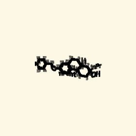 CCCCC[C@@]12CC[C@](O)(CCC)C[C@H]1CCc1cc(OCc3ccncc3)ccc12